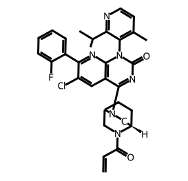 C=CC(=O)N1CC2CC[C@H]1CN2c1nc(=O)n(-c2c(C)ccnc2C(C)C)c2nc(-c3ccccc3F)c(Cl)cc12